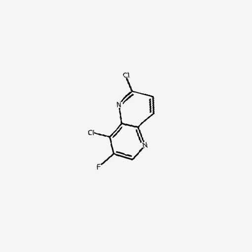 Fc1cnc2ccc(Cl)nc2c1Cl